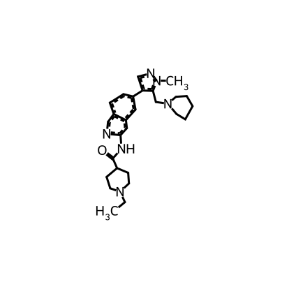 CCN1CCC(C(=O)Nc2cc3cc(-c4cnn(C)c4CN4CCCCC4)ccc3cn2)CC1